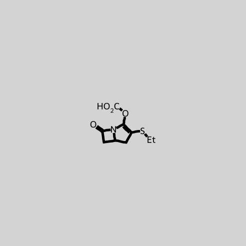 CCSC1=C(OC(=O)O)N2C(=O)CC2C1